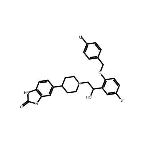 O=C1[N]c2cc(C3CCN(CC(O)c4cc(Br)ccc4OCc4ccc(Cl)cc4)CC3)ccc2N1